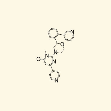 Cn1c(N2CCOC(c3ccccc3-c3cccnc3)C2)nc(-c2ccncc2)cc1=O